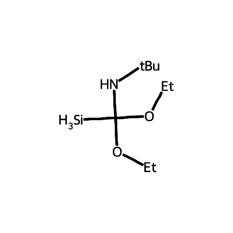 CCOC([SiH3])(NC(C)(C)C)OCC